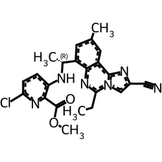 CCc1nc2c([C@@H](C)Nc3ccc(Cl)nc3C(=O)OC)cc(C)cc2c2nc(C#N)cn12